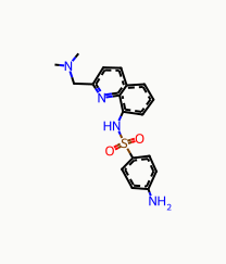 CN(C)Cc1ccc2cccc(NS(=O)(=O)c3ccc(N)cc3)c2n1